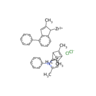 CC1=C2c3cc(C)n(-c4ccccc4)c3C1[Si]2(C)C.CC1=Cc2c(-c3ccccc3)cccc2[CH]1[Zr+2].[Cl-].[Cl-]